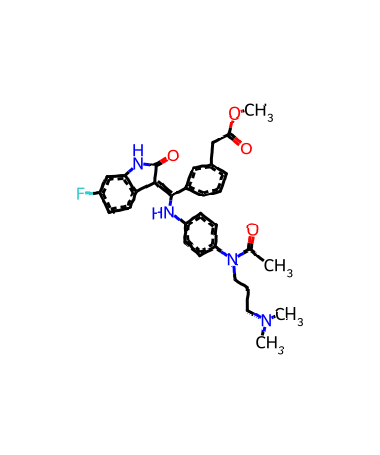 COC(=O)Cc1cccc(C(Nc2ccc(N(CCCN(C)C)C(C)=O)cc2)=C2C(=O)Nc3cc(F)ccc32)c1